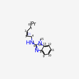 CC(C)C/C=C\CNc1nc2ccccc2n1C